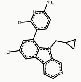 Nc1ccc(-c2cc(Cl)cc3c4ccncc4n(CC4CC4)c23)c(Cl)n1